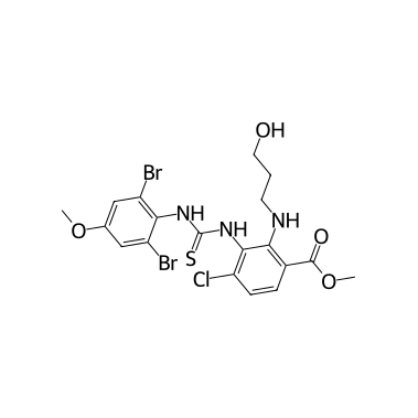 COC(=O)c1ccc(Cl)c(NC(=S)Nc2c(Br)cc(OC)cc2Br)c1NCCCO